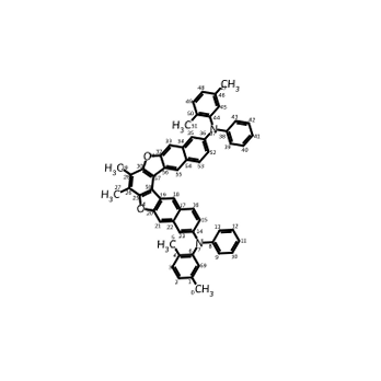 Cc1ccc(C)c(N(c2ccccc2)c2ccc3cc4c(cc3c2)oc2c(C)c(C)c3oc5cc6cc(N(c7ccccc7)c7cc(C)ccc7C)ccc6cc5c3c24)c1